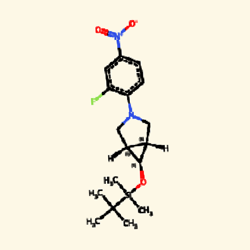 CC(C)(C)[Si](C)(C)O[C@H]1[C@@H]2CN(c3ccc([N+](=O)[O-])cc3F)C[C@@H]21